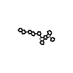 c1ccc(-n2c3ccccc3c3cc4c(-c5cccc(-c6ccc7cc(-c8ccc9ccccc9c8)ccc7c6)c5)nc5ccccc5c4cc32)cc1